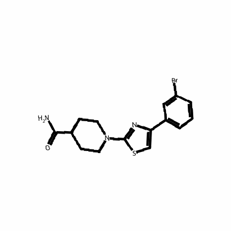 NC(=O)C1CCN(c2nc(-c3cccc(Br)c3)cs2)CC1